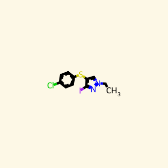 CCn1cc(Sc2ccc(Cl)cc2)c(I)n1